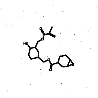 C=C(C)C(=O)OCC1CC(COC(=O)C2CCC3OC3C2)CCC1O